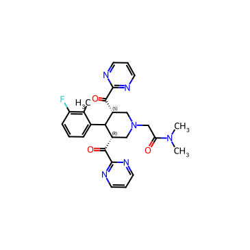 Cc1c(F)cccc1C1[C@@H](C(=O)c2ncccn2)CN(CC(=O)N(C)C)C[C@H]1C(=O)c1ncccn1